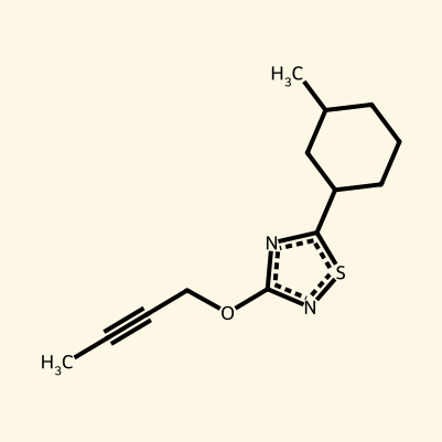 CC#CCOc1nsc(C2CCCC(C)C2)n1